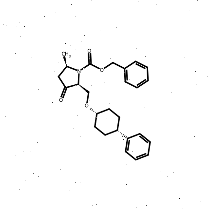 C[C@@H]1CC(=O)[C@H](CO[C@H]2CC[C@@H](c3ccccc3)CC2)N1C(=O)OCc1ccccc1